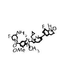 COc1cc(C(=O)N2C[C@H](N)C[C@@H](F)C2)cc2nc(-c3cc4ccc(-c5cc(F)c6c(c5)CCC(=O)N6)nc4n3CC3CC3)n(C)c12